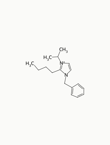 CCCCc1n(Cc2ccccc2)cc[n+]1C(C)C